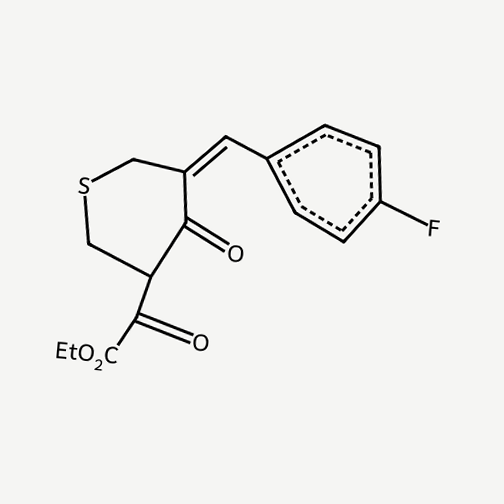 CCOC(=O)C(=O)C1CSCC(=Cc2ccc(F)cc2)C1=O